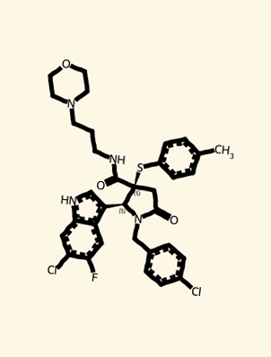 Cc1ccc(S[C@@]2(C(=O)NCCCN3CCOCC3)CC(=O)N(Cc3ccc(Cl)cc3)[C@H]2c2c[nH]c3cc(Cl)c(F)cc23)cc1